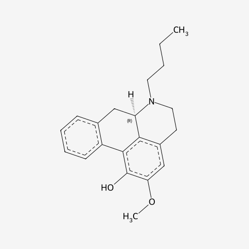 CCCCN1CCc2cc(OC)c(O)c3c2[C@H]1Cc1ccccc1-3